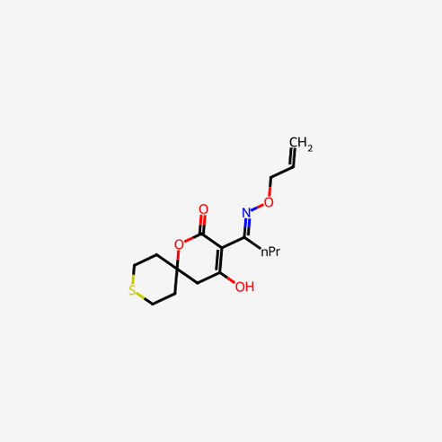 C=CCON=C(CCC)C1=C(O)CC2(CCSCC2)OC1=O